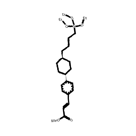 CCO[Si](CCCC[C@H]1CC[C@H](c2ccc(/C=C/C(=O)OC)cc2)CC1)(OCC)OCC